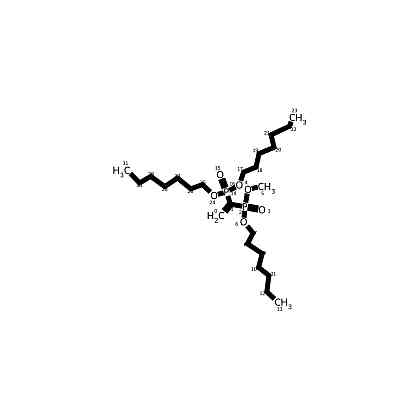 C=C(P(=O)(OC)OCCCCCCC)P(=O)(OCCCCCCC)OCCCCCCC